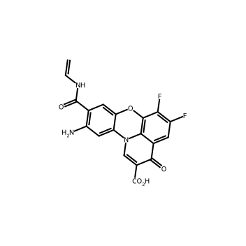 C=CNC(=O)c1cc2c(cc1N)-n1cc(C(=O)O)c(=O)c3cc(F)c(F)c(c31)O2